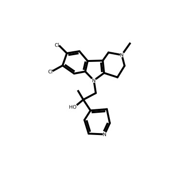 CN1CCc2c(c3cc(Cl)c(Cl)cc3n2CC(C)(O)c2ccncc2)C1